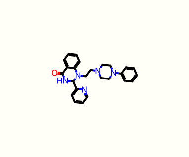 O=C1NC(c2ccccn2)N(CCN2CCN(c3ccccc3)CC2)c2ccccc21